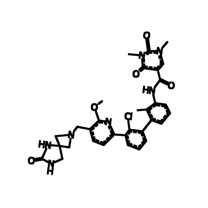 COc1nc(-c2cccc(-c3cccc(NC(=O)c4cn(C)c(=O)n(C)c4=O)c3C)c2Cl)ccc1CN1CC2(CNC(=O)N2)C1